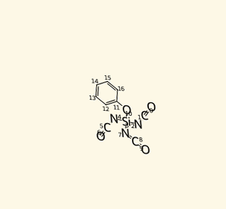 O=C=N[Si](N=C=O)(N=C=O)Oc1ccccc1